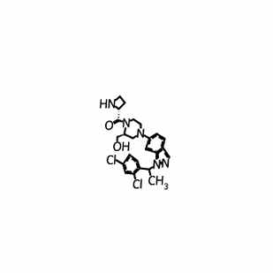 CC(c1ccc(Cl)cc1Cl)n1ncc2ccc(N3CCN(C(=O)[C@H]4CCN4)[C@H](CO)C3)cc21